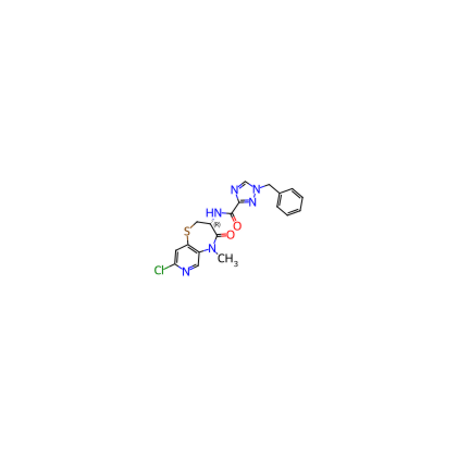 CN1C(=O)[C@@H](NC(=O)c2ncn(Cc3ccccc3)n2)CSc2cc(Cl)ncc21